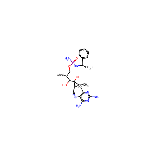 CCOC(=O)C(NP(N)(=O)OCC(OC)C(O)C1(O)C(C)C1/C=N\c1c(N)nc(N)nc1OC)c1ccccc1